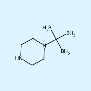 BC(B)(B)N1CCNCC1